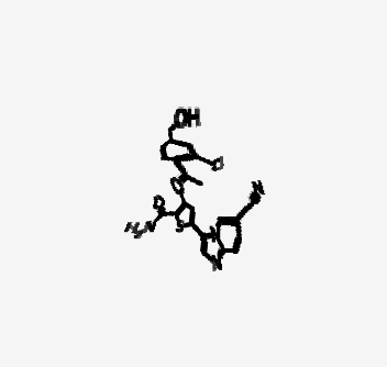 CC(Oc1cc(-c2cnc3ccc(C#N)cn23)sc1C(N)=O)c1ccc(CO)cc1Cl